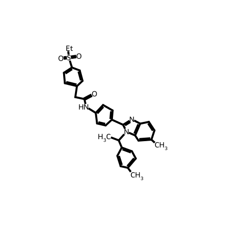 CCS(=O)(=O)c1ccc(CC(=O)Nc2ccc(-c3nc4ccc(C)cc4n3C(C)c3ccc(C)cc3)cc2)cc1